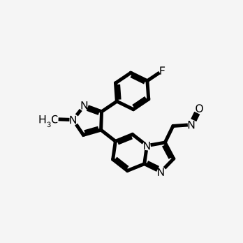 Cn1cc(-c2ccc3ncc(CN=O)n3c2)c(-c2ccc(F)cc2)n1